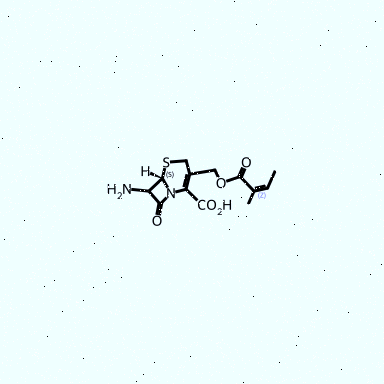 C/C=C(/C)C(=O)OCC1=C(C(=O)O)N2C(=O)C(N)[C@@H]2SC1